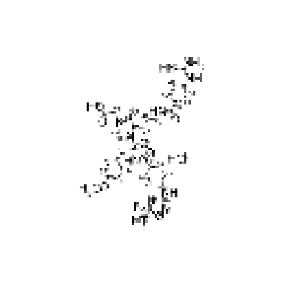 COc1ccc(C[C@H](NC(=O)c2ccc(Nc3noc(C(F)(F)F)n3)cc2)C(=O)N2CCN(CC(=O)O)C(=O)[C@@H]2CCCNC(=O)c2ccc(NC(=N)N)cc2)cc1.Cl